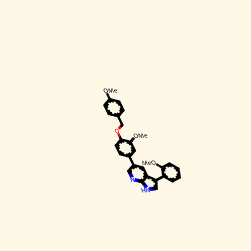 COc1ccc(COc2ccc(-c3cnc4[nH]cc(-c5ccccc5OC)c4c3)cc2OC)cc1